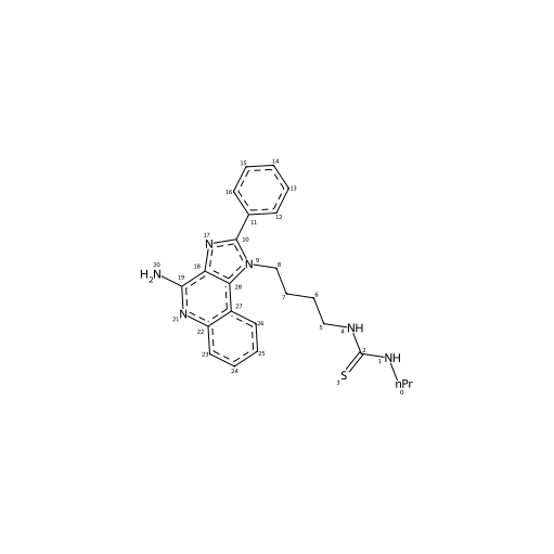 CCCNC(=S)NCCCCn1c(-c2ccccc2)nc2c(N)nc3ccccc3c21